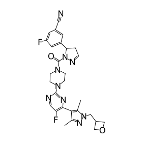 Cc1nn(CC2COC2)c(C)c1-c1nc(N2CCN(C(=O)N3N=CCC3c3cc(F)cc(C#N)c3)CC2)ncc1F